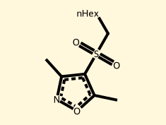 CCCCCCCS(=O)(=O)c1c(C)noc1C